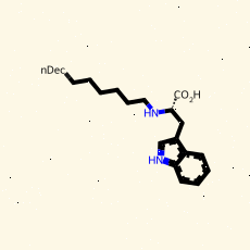 CCCCCCCCCCCCCCCCN[C@@H](Cc1c[nH]c2ccccc12)C(=O)O